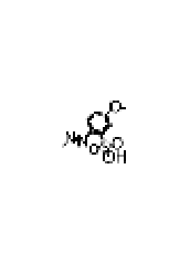 C/N=N/c1ccc(OC)cc1S(=O)(=O)O